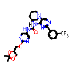 CC1(C)OCC(COc2ncc(NC(=O)N3c4nc(-c5cccc(C(F)(F)F)c5)ncc4N4CCC[C@H]3C4)cn2)O1